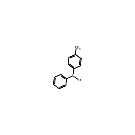 CCN(c1ccccc1)c1ccc(C(F)(F)F)cc1